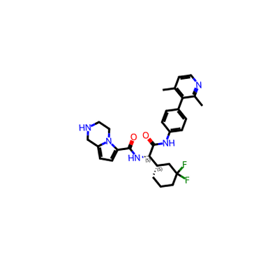 Cc1ccnc(C)c1-c1ccc(NC(=O)[C@@H](NC(=O)c2ccc3n2CCNC3)[C@H]2CCCC(F)(F)C2)cc1